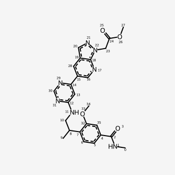 CNC(=O)c1ccc(C(C)CNc2cc(-c3cnc4c(cnn4CC(=O)OC)c3)ncn2)c(OC)c1